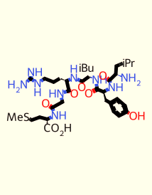 CC[C@H](C)[C@H](NC(=O)[C@H](Cc1ccc(O)cc1)NC(=O)[C@@H](N)CC(C)C)C(=O)N[C@@H](CCCNC(=N)N)C(=O)NCC(=O)N[C@@H](CCSC)C(=O)O